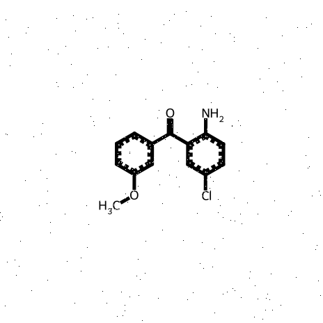 COc1cccc(C(=O)c2cc(Cl)ccc2N)c1